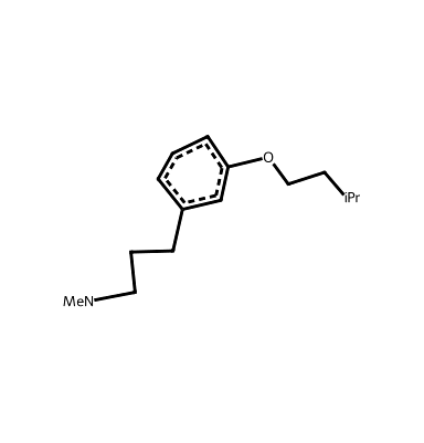 CNCCCc1cccc(OCCC(C)C)c1